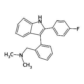 CN(C)Cc1ccccc1-c1c(-c2ccc(F)cc2)[nH]c2ccccc12